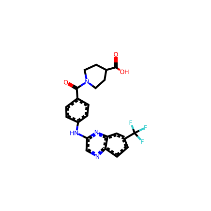 O=C(O)C1CCN(C(=O)c2ccc(Nc3cnc4ccc(C(F)(F)F)cc4n3)cc2)CC1